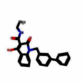 O=C(O)CNC(=O)c1c(O)c2ccccc2n(Cc2cccc(-c3ccccc3)c2)c1=O